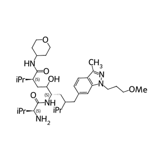 COCCCn1nc(C)c2ccc(CC(C[C@H](NC(=O)[C@@H](N)C(C)C)C(O)C[C@H](C(=O)NC3CCOCC3)C(C)C)C(C)C)cc21